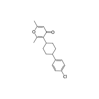 Cc1cc(=O)c(C2CCC(c3ccc(Cl)cc3)CC2)c(C)o1